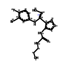 O=C(NCCO)Nc1conc1/C(=N/O)Nc1ccc(F)c(Br)c1